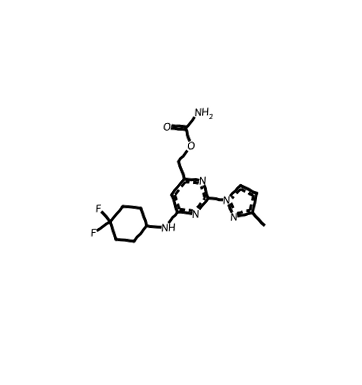 Cc1ccn(-c2nc(COC(N)=O)cc(NC3CCC(F)(F)CC3)n2)n1